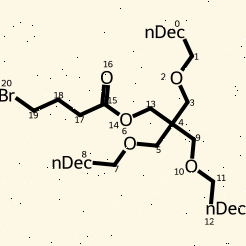 CCCCCCCCCCCOCC(COCCCCCCCCCCC)(COCCCCCCCCCCC)COC(=O)CCCBr